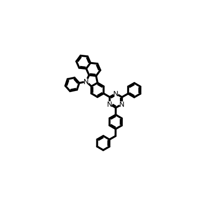 C1=CC(Cc2ccc(-c3nc(-c4ccccc4)nc(-c4ccc5c(c4)c4ccc6ccccc6c4n5-c4ccccc4)n3)cc2)=CCC1